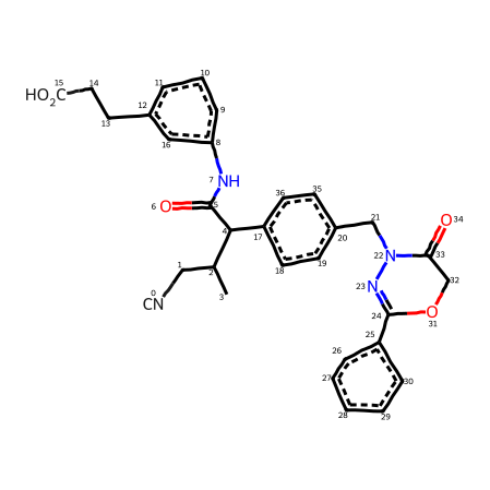 [C-]#[N+]CC(C)C(C(=O)Nc1cccc(CCC(=O)O)c1)c1ccc(CN2N=C(c3ccccc3)OCC2=O)cc1